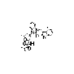 C=C(C)S(=O)(=O)NC(=O)C[C@H](CCC)n1c(=O)n(Cc2cn(C)c3cccc(C)c23)c2ccccc21